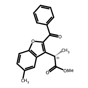 COC(=O)[C@@H](C)c1c(C(=O)c2ccccc2)oc2ccc(C)cc12